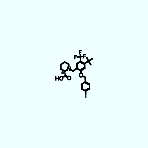 CC(C)(C)c1cc(OCc2ccc(I)cc2)c(CN2CCCC[C@H]2C(=O)O)cc1C(F)(F)F